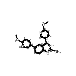 COc1ccc(-c2ccc3nc(N)nc(-c4ccc(OC)nc4)c3c2)cn1